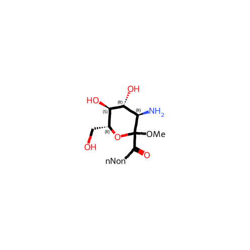 CCCCCCCCCC(=O)C1(OC)O[C@H](CO)[C@@H](O)[C@H](O)[C@H]1N